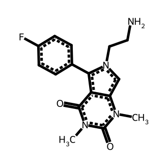 Cn1c(=O)c2c(-c3ccc(F)cc3)n(CCN)cc2n(C)c1=O